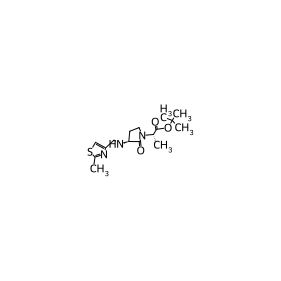 Cc1nc(CN[C@H]2CCN([C@@H](C)C(=O)OC(C)(C)C)C2=O)cs1